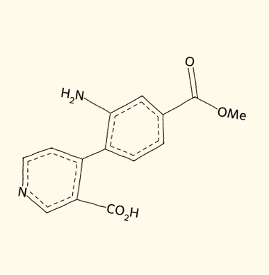 COC(=O)c1ccc(-c2ccncc2C(=O)O)c(N)c1